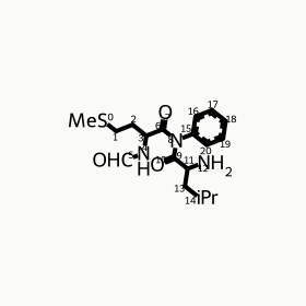 CSCCC(NC=O)C(=O)N(C(=O)C(N)CC(C)C)c1ccccc1